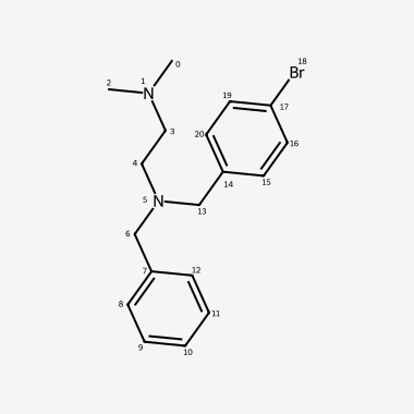 CN(C)CCN(Cc1ccccc1)Cc1ccc(Br)cc1